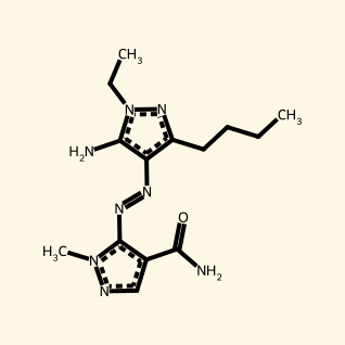 CCCCc1nn(CC)c(N)c1N=Nc1c(C(N)=O)cnn1C